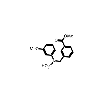 COC(=O)c1cccc(CN(C(=O)O)c2cccc(OC)c2)c1